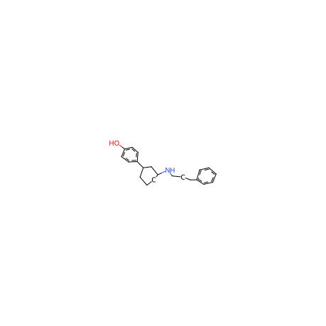 Oc1ccc(C2CCCC(NCCCc3ccccc3)C2)cc1